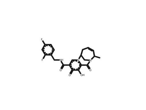 CC1C=CCC2CN1C(=O)c1c(O)c(=O)c(C(=O)NCc3ccc(F)cc3F)cn12